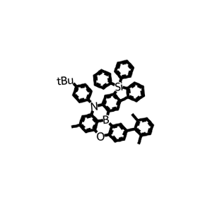 Cc1cc2c3c(c1)N(c1ccc(C(C)(C)C)cc1)c1cc4c(cc1B3c1cc(-c3c(C)cccc3C)ccc1O2)-c1ccccc1[Si]4(c1ccccc1)c1ccccc1